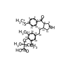 CSc1ccc(C(=O)C2CNCC2CCc2cc(C)c(OC(C)(C)C(=O)O)c(C)c2)cc1